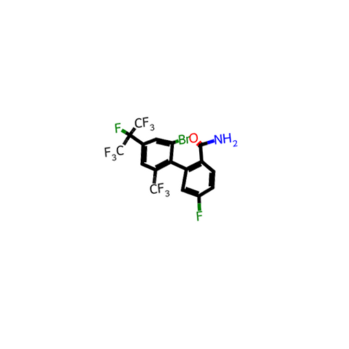 NC(=O)c1ccc(F)cc1-c1c(Br)cc(C(F)(C(F)(F)F)C(F)(F)F)cc1C(F)(F)F